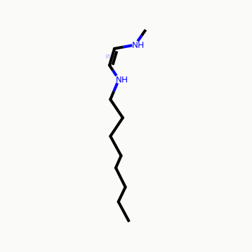 CCCCCCCCN/C=C\NC